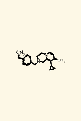 C=C1C=CN2CCN(Cc3ccc(CC)cc3)CC2=C1C1CC1